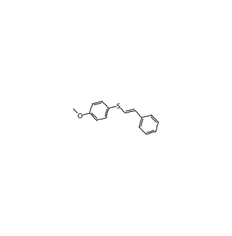 COc1ccc(SC=Cc2ccccc2)cc1